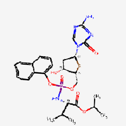 CC(C)OC(=O)[C@@H](NP(=O)(OC[C@H]1S[C@@H](n2cnc(N)nc2=O)C[C@H]1O)Oc1cccc2ccccc12)C(C)C